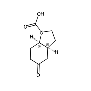 O=C1CC[C@@H]2[C@@H](CCN2C(=O)O)C1